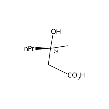 CCC[C@](C)(O)CC(=O)O